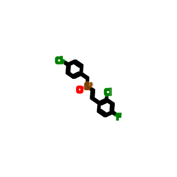 [O-][S+](/C=C/c1ccc(F)cc1Cl)Cc1ccc(Cl)cc1